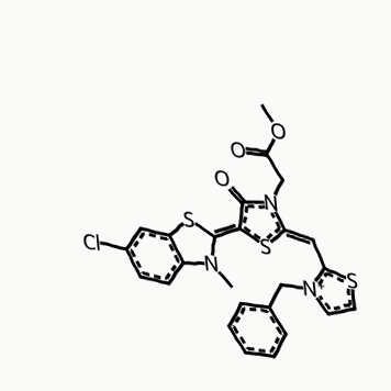 COC(=O)Cn1c(=O)/c(=C2\Sc3cc(Cl)ccc3N2C)s/c1=C\c1scc[n+]1Cc1ccccc1